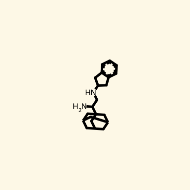 NC(CNC1Cc2ccccc2C1)C12CC3CC(CC(C3)C1)C2